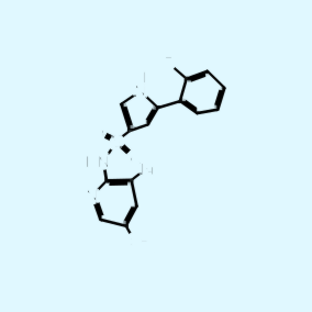 O=S(=O)(Nc1ncc(C(F)(F)F)cc1Br)c1c[nH]c(-c2ccccc2F)c1